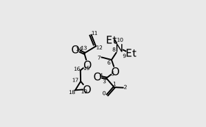 C=C(C)C(=O)OC(C)N(CC)CC.C=CC(=O)OCC1CO1